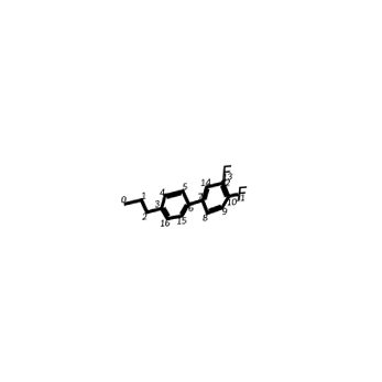 CCCc1ccc(-c2ccc(F)c(F)c2)cc1